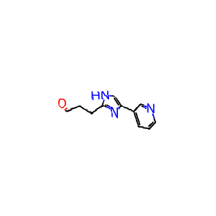 O=CCCc1nc(-c2cccnc2)c[nH]1